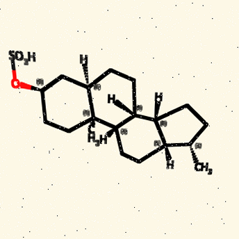 C[C@H]1CC[C@@H]2[C@H]1CC[C@H]1[C@@H]2CC[C@@H]2C[C@H](OS(=O)(=O)O)CC[C@@]21C